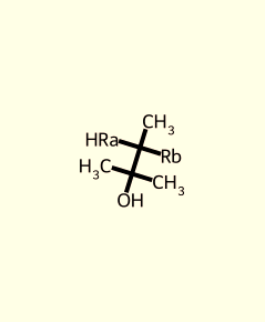 CC(C)(O)[C](C)([Rb])[RaH]